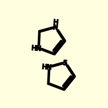 C1=CNCN1.C1=CSNC1